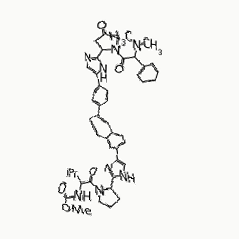 COC(=O)NC(C(=O)N1CCCC1c1nc(-c2ccc3cc(-c4ccc(-c5cnc(C6CC(=O)CN6C(=O)C(c6ccccc6)N(C)C)[nH]5)cc4)ccc3c2)c[nH]1)C(C)C